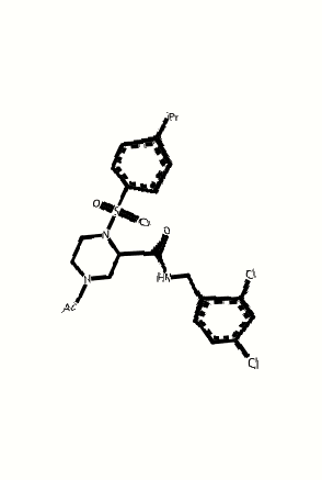 CC(=O)N1CCN(S(=O)(=O)c2ccc(C(C)C)cc2)C(C(=O)NCc2ccc(Cl)cc2Cl)C1